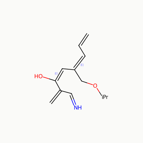 C=C/C=C(\C=C(\O)C(=C)C=N)COC(C)C